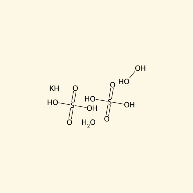 O.O=S(=O)(O)O.O=S(=O)(O)O.OO.[KH]